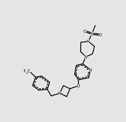 CS(=O)(=O)N1CCN(c2ccc(OC3CN(Cc4ccc(C(F)(F)F)cc4)C3)cn2)CC1